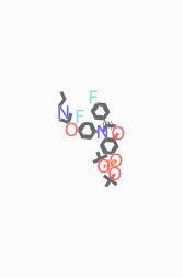 CCCN1CC(Oc2ccc(N3c4ccc(OP(OC(C)(C)C)OC(C)(C)C)cc4OC[C@H]3c3ccc(F)cc3)cc2F)C1